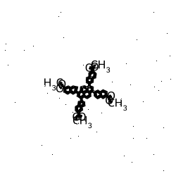 COC(=O)c1ccc2cc(-c3cc(-c4ccc5cc(C(=O)OC)ccc5c4)c4ccc5c(-c6ccc7cc(C(=O)OC)ccc7c6)cc(-c6ccc7cc(C(=O)OC)ccc7c6)c6ccc3c4c65)ccc2c1